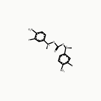 C[C@H](OC(=O)O[C@@H](C)c1ccc([N+](=O)[O-])c(F)c1)c1ccc([N+](=O)[O-])c(F)c1